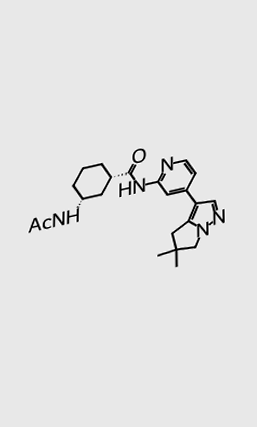 CC(=O)N[C@@H]1CCC[C@H](C(=O)Nc2cc(-c3cnn4c3CC(C)(C)C4)ccn2)C1